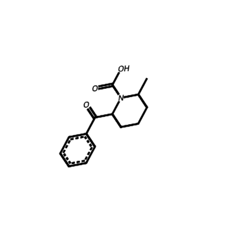 CC1CCCC(C(=O)c2ccccc2)N1C(=O)O